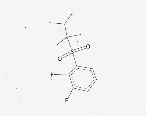 CC(C)C(C)(C)S(=O)(=O)c1cccc(F)c1F